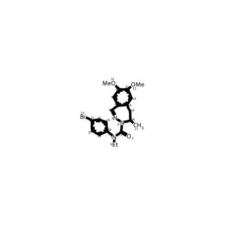 CCN(C(=O)N1N=Cc2cc(OC)c(OC)cc2CC1C)c1ccc(Br)cc1